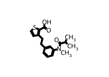 CC(C)C(=O)N(C)c1cccc(CCc2ccsc2C(=O)O)c1